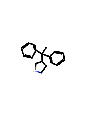 CC(c1ccccc1)(c1ccccc1)C1CCNC1